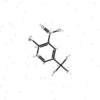 O=[N+]([O-])c1cc(C(F)(F)F)cnc1Br